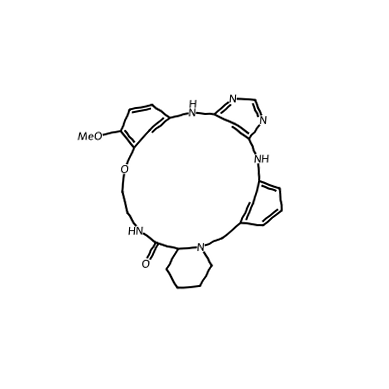 COc1ccc2cc1OCCNC(=O)C1CCCCN1Cc1cccc(c1)Nc1cc(ncn1)N2